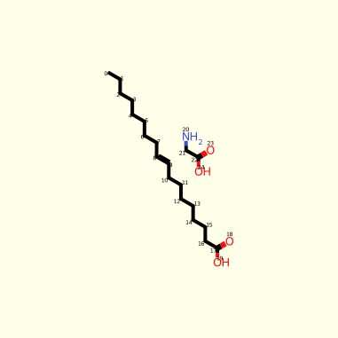 CCCCCCCCC=CCCCCCCCC(=O)O.NCC(=O)O